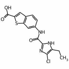 CCc1[nH]c(C(=O)Nc2ccc3cc(C(=O)O)sc3c2)nc1Cl